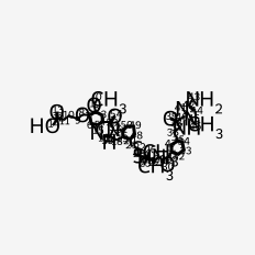 COc1cc2c(cc1OCCCC(=O)O)N=C[C@@H]1Cc3c(CSSC(C)(C)CNC(=O)c4cccc(CNC(=O)c5nc(N)cn5C)c4)cccc3N1C2=O